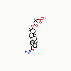 CC(C)(CC(=O)O)CC(=O)O[C@H]1CC[C@@]2(C)C(CC[C@]3(C)C2CC[C@@H]2[C@H]4CCC[C@]4(CC(N)=O)CC[C@]23C)C1(C)C